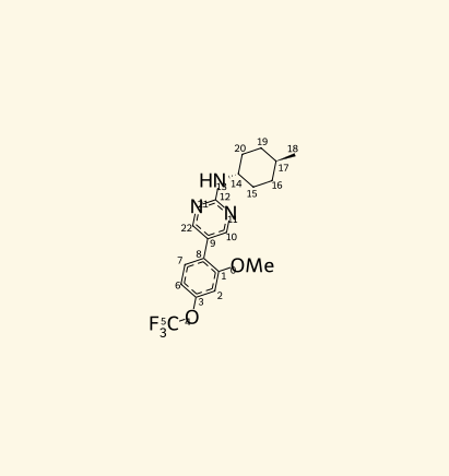 COc1cc(OC(F)(F)F)ccc1-c1cnc(N[C@H]2CC[C@H](C)CC2)nc1